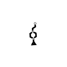 [O]CCN1CCN(C2CC2)CC1